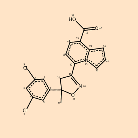 CC1(c2cc(Cl)cc(Cl)c2)CC(c2ccc(C(=O)O)c3cccn23)=NO1